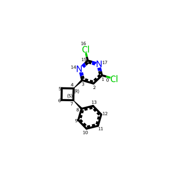 Clc1cc([C@@H]2CC[C@@H]2c2ccccc2)nc(Cl)n1